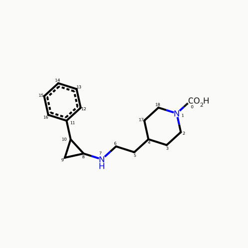 O=C(O)N1CCC(CCNC2CC2c2ccccc2)CC1